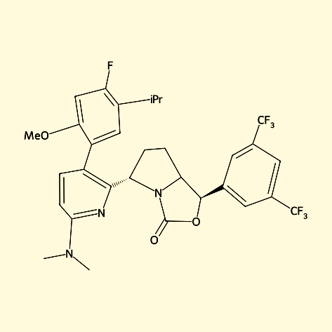 COc1cc(F)c(C(C)C)cc1-c1ccc(N(C)C)nc1[C@@H]1CCC2[C@@H](c3cc(C(F)(F)F)cc(C(F)(F)F)c3)OC(=O)N21